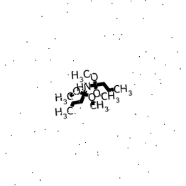 CCCC(NC(CCC)(OC)OC)(OC)OC